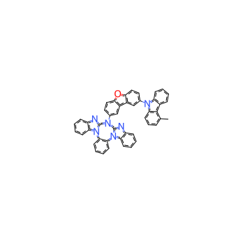 Cc1cccc2c1c1ccccc1n2-c1ccc2oc3ccc(-n4c5nc6ccccc6n5c5ccccc5n5c6ccccc6nc45)cc3c2c1